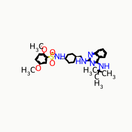 COc1ccc(OC)c(S(=O)(=O)NC[C@H]2CC[C@H](CNc3nc(NC(C)(C)C)c4ccccc4n3)CC2)c1